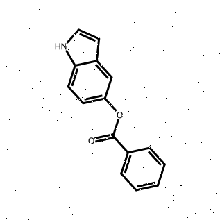 O=C(Oc1ccc2[nH]ccc2c1)c1ccccc1